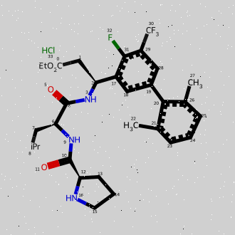 CCOC(=O)C[C@H](NC(=O)[C@H](CC(C)C)NC(=O)[C@H]1CCCN1)c1cc(-c2c(C)cccc2C)cc(C(F)(F)F)c1F.Cl